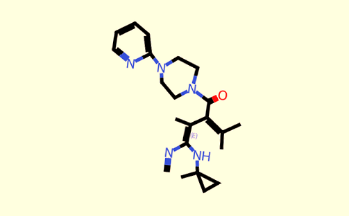 C=N/C(NC1(C)CC1)=C(\C)C(C(=O)N1CCN(c2ccccn2)CC1)=C(C)C